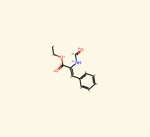 CCOC(=O)C(=Cc1ccccc1)NC=O